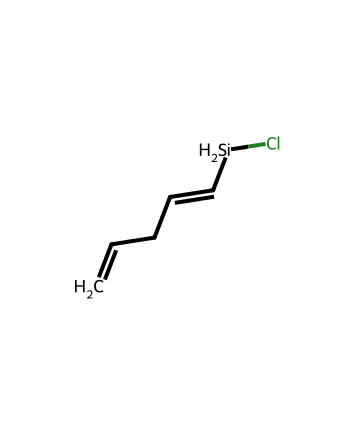 C=CCC=C[SiH2]Cl